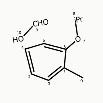 Cc1ccccc1OC(C)C.O=CO